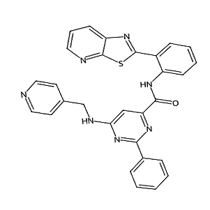 O=C(Nc1ccccc1-c1nc2cccnc2s1)c1cc(NCc2ccncc2)nc(-c2ccccc2)n1